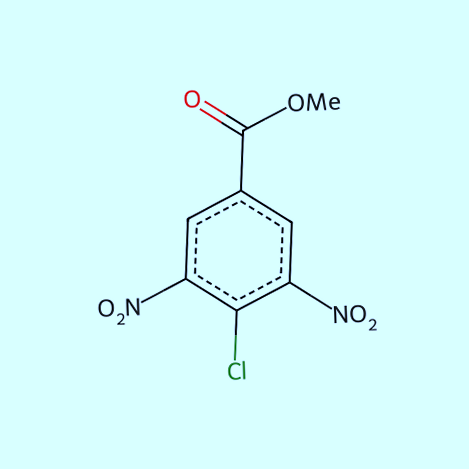 COC(=O)c1cc([N+](=O)[O-])c(Cl)c([N+](=O)[O-])c1